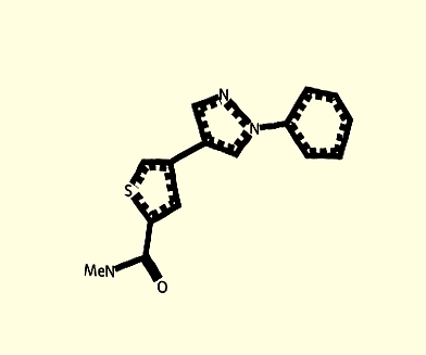 CNC(=O)c1cc(-c2cnn(-c3ccccc3)c2)cs1